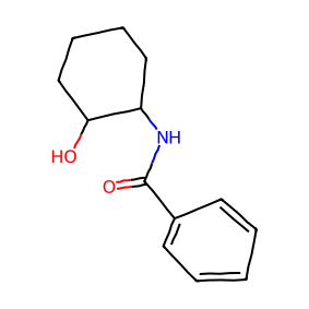 O=C(NC1CCCCC1O)c1ccccc1